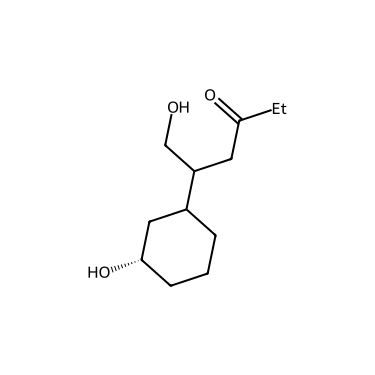 CCC(=O)CC(CO)C1CCC[C@H](O)C1